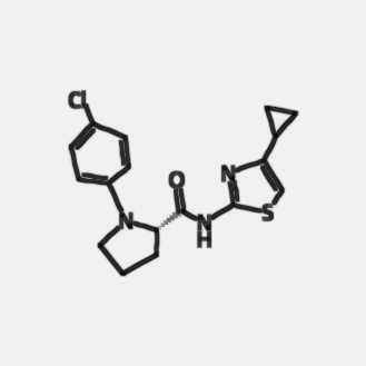 O=C(Nc1nc(C2CC2)cs1)[C@@H]1CCCN1c1ccc(Cl)cc1